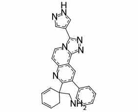 NCC1(c2nc3ccn4c(-c5cn[nH]c5)nnc4c3cc2-c2ccccc2)C=CC=CC1